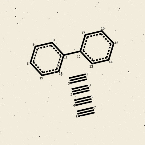 C#C.C#C.C#C.C#C.c1ccc(-c2ccccc2)cc1